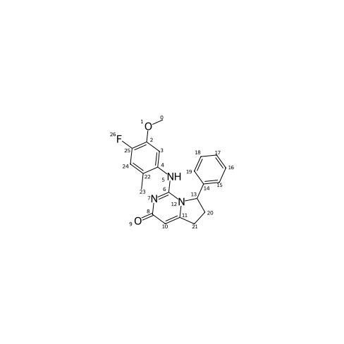 COc1cc(Nc2nc(=O)cc3n2C(c2ccccc2)CC3)c(C)cc1F